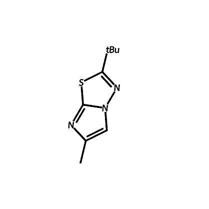 Cc1cn2nc(C(C)(C)C)sc2n1